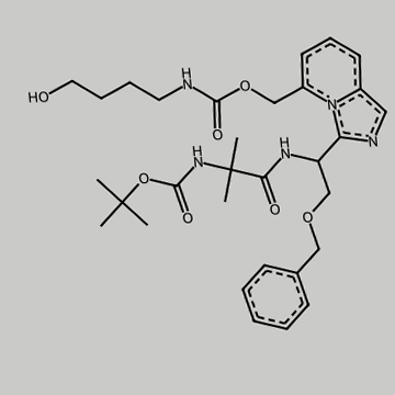 CC(C)(C)OC(=O)NC(C)(C)C(=O)NC(COCc1ccccc1)c1ncc2cccc(COC(=O)NCCCCO)n12